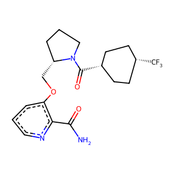 NC(=O)c1ncccc1OC[C@@H]1CCCN1C(=O)[C@H]1CC[C@@H](C(F)(F)F)CC1